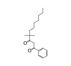 CCCCCCCC(C)(C)C(=O)CC(=O)c1ccccc1